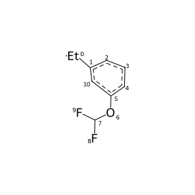 C[CH]c1cccc(OC(F)F)c1